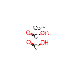 O=[C-]O.O=[C-]O.[Co+2]